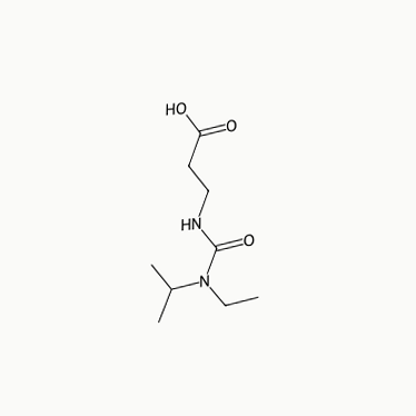 CCN(C(=O)NCCC(=O)O)C(C)C